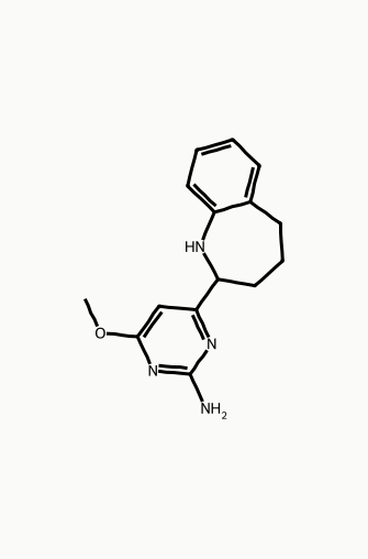 COc1cc(C2CCCc3ccccc3N2)nc(N)n1